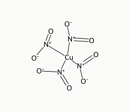 O=[N+]([O-])[Cu]([N+](=O)[O-])([N+](=O)[O-])[N+](=O)[O-]